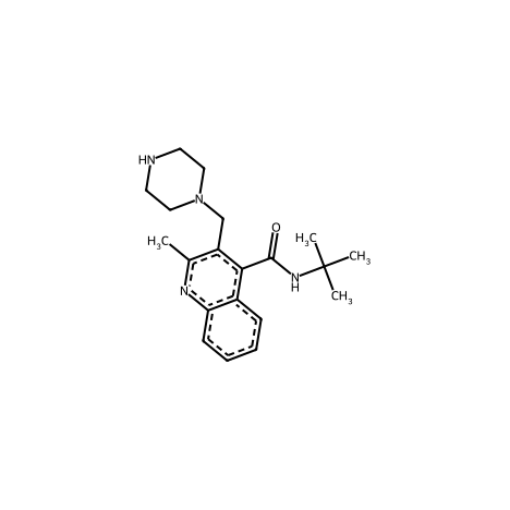 Cc1nc2ccccc2c(C(=O)NC(C)(C)C)c1CN1CCNCC1